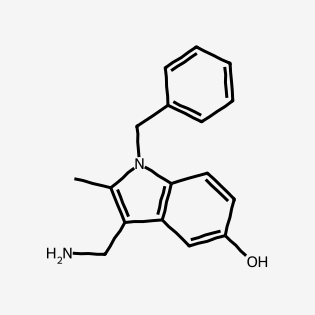 Cc1c(CN)c2cc(O)ccc2n1Cc1ccccc1